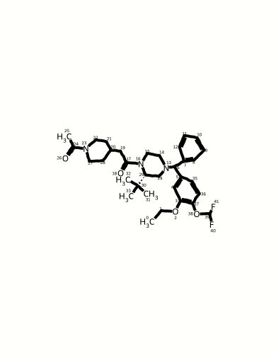 CCOc1cc(C(c2ccccc2)N2CCN(C(=O)CC3CCN(C(C)=O)CC3)[C@@H](C(C)(C)C)C2)ccc1OC(F)F